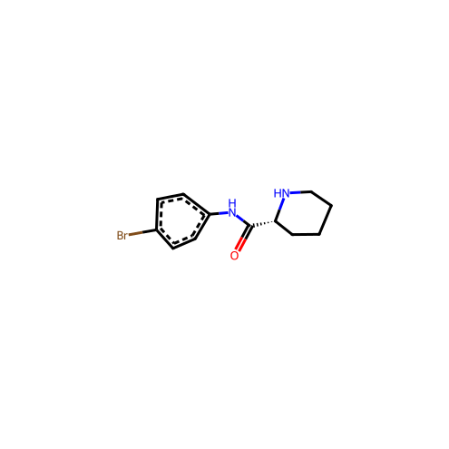 O=C(Nc1ccc(Br)cc1)[C@H]1CCCCN1